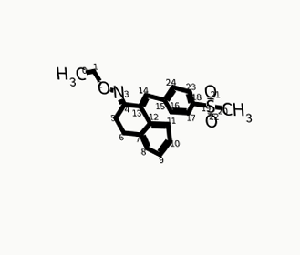 CCON=C1CCc2ccccc2/C1=C\c1ccc(S(C)(=O)=O)cc1